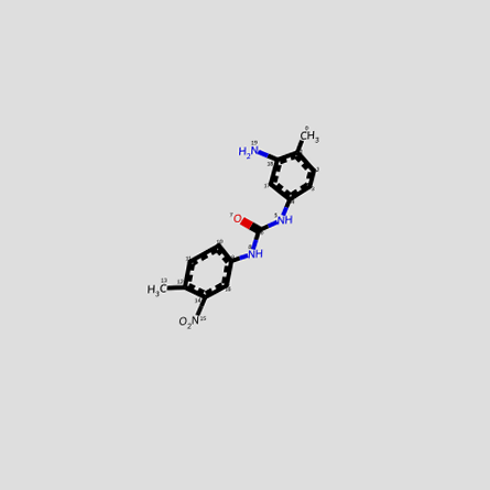 Cc1ccc(NC(=O)Nc2ccc(C)c([N+](=O)[O-])c2)cc1N